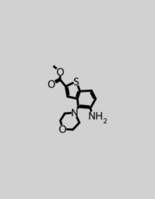 COC(=O)c1cc2c(N3CCOCC3)c(N)ccc2s1